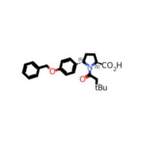 CC(C)(C)CC(=O)N1[C@H](C(=O)O)CC[C@H]1c1ccc(OCc2ccccc2)cc1